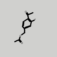 CC(=O)OCc1ccc(C(C)=O)c(F)c1